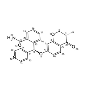 C[C@H]1COc2cc(O[C@@H](c3ccncc3)c3ccccc3C(N)=O)ccc2C1=O